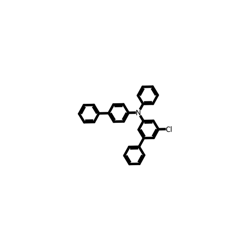 Clc1cc(-c2ccccc2)cc(N(c2ccccc2)c2ccc(-c3ccccc3)cc2)c1